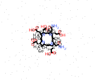 C/C1=C2N=C(/C=C3N=C(/C(C)=C4\[N-][C@@](C)(C5N=C1[C@](C)(CCC(=O)O)[C@H]5CC(=O)O)[C@@](C)(CC(N)=O)[C@@H]4CCC(=O)O)[C@@](C)(CC(N)=O)[C@@H]\3CCC(=O)O)C(C)(C)[C@@H]/2CCC(=O)O.[Co]